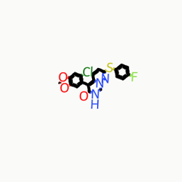 O=C1NCN2N=C(Sc3ccc(F)cc3)C=CC2=C1c1cc2c(cc1Cl)OCO2